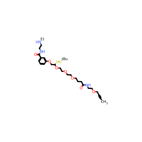 CC#CCOCCNC(=O)CCCOCCOCCOC(COc1cccc(C(=O)NCCNCC)c1)SSC(C)(C)C